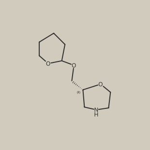 C1CCC(OC[C@H]2CNCCO2)OC1